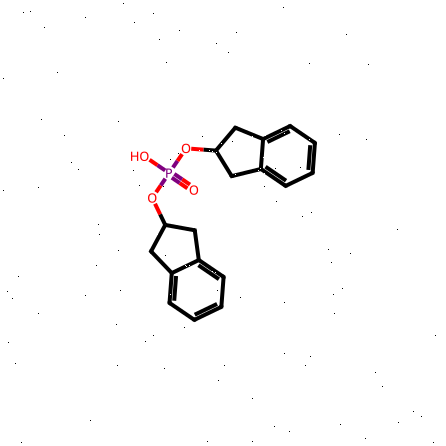 O=P(O)(OC1Cc2ccccc2C1)OC1Cc2ccccc2C1